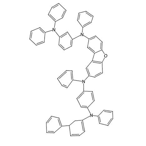 C1=CC(c2ccccc2)CC(N(c2ccccc2)c2ccc(N(c3ccccc3)c3ccc4oc5ccc(N(c6ccccc6)c6cccc(N(c7ccccc7)c7ccccc7)c6)cc5c4c3)cc2)=C1